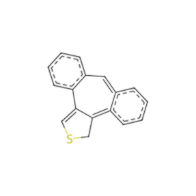 C1=C2C(=c3ccccc3=Cc3ccccc32)CS1